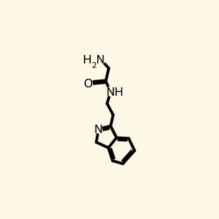 NCC(=O)NCCC1=NCc2ccccc21